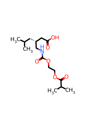 CC(C)C[C@@H](CNC(=O)OCCOC(=O)C(C)C)CC(=O)O